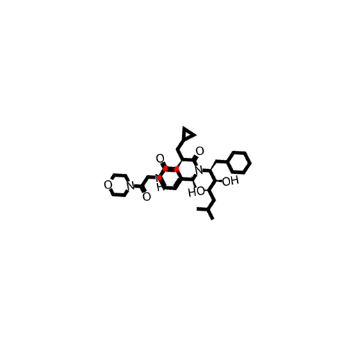 CC(C)C[C@H](O)[C@H](O)[C@H](CC1CCCCC1)N(C(=O)[C@@H](CC(=O)NCC(=O)N1CCOCC1)CC1CC1)[C@@H](C)c1ccccc1